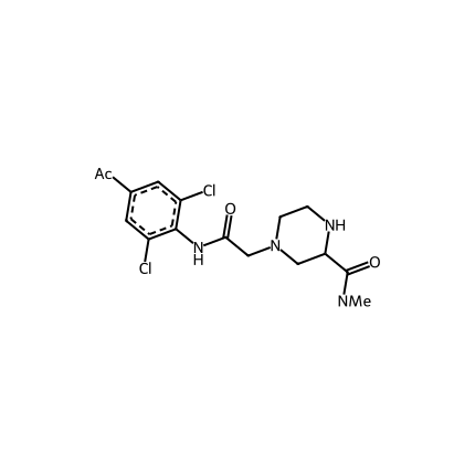 CNC(=O)C1CN(CC(=O)Nc2c(Cl)cc(C(C)=O)cc2Cl)CCN1